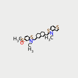 CCN1/C(=C/C2=CC3=C/C(=C/c4sc5ccc([S+](C)[O-])cc5[n+]4CC)CCC3CC2)Sc2ccc3sccc3c21